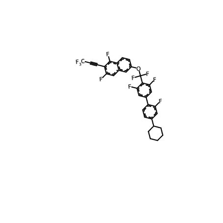 Fc1cc(C2CCCCC2)ccc1-c1cc(F)c(C(F)(F)Oc2ccc3c(F)c(C#CC(F)(F)F)c(F)cc3c2)c(F)c1